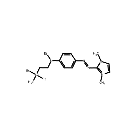 CCN(CC[N+](C)(CC)CC)c1ccc(N=Nc2n(C)cc[n+]2C)cc1